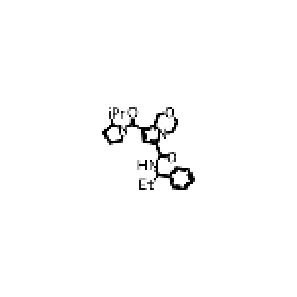 CC[C@@H](NC(=O)c1cc(C(=O)N2CCC[C@H]2C(C)C)c2n1CCOC2)c1ccccc1